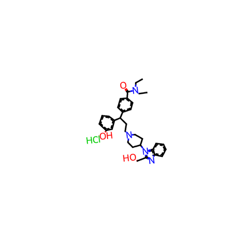 CCN(CC)C(=O)c1ccc(C(CCN2CCC(n3c(CO)nc4ccccc43)CC2)c2cccc(O)c2)cc1.Cl